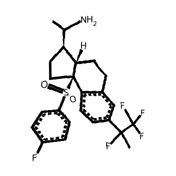 CC(N)[C@@H]1CC[C@@]2(S(=O)(=O)c3ccc(F)cc3)c3ccc(C(C)(F)C(F)(F)F)cc3CC[C@@H]12